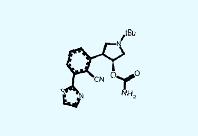 CC(C)(C)N1CC(c2cccc(-c3nccs3)c2C#N)[C@H](OC(N)=O)C1